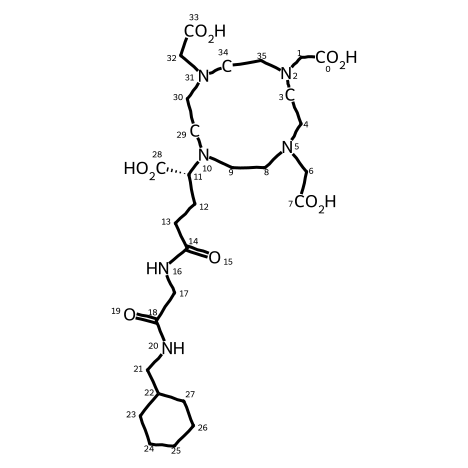 O=C(O)CN1CCN(CC(=O)O)CCN([C@H](CCC(=O)NCC(=O)NCC2CCCCC2)C(=O)O)CCN(CC(=O)O)CC1